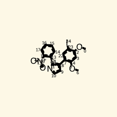 COc1cc(OC)c(-c2ccnn2-c2ccccc2[N+](=O)[O-])cc1I